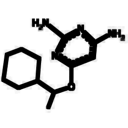 CC(Oc1cc(N)nc(N)n1)C1CCCCC1